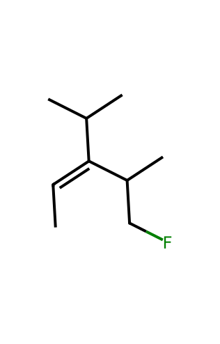 CC=C(C(C)C)C(C)CF